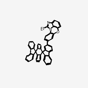 CCc1nc2cccc3c2n1-c1ccc(-c2ccc4c(c2)C2(c5ccccc5-4)c4ccccc4C4(c5ccccc5-c5ccccc54)c4ccccc42)cc1O3